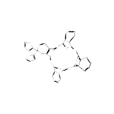 C1=CC(c2cccs2)(c2cccs2)Cc2c1c1nc3nc(nc4[nH]c(nc5nc(nc2[nH]1)-c1ccccc1-5)c1ccccc41)-c1ccccc1-3